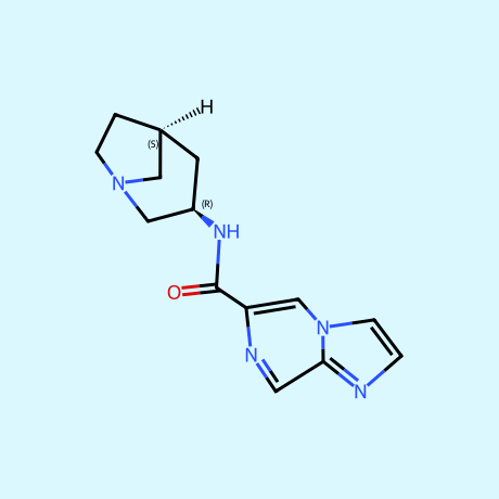 O=C(N[C@@H]1C[C@@H]2CCN(C2)C1)c1cn2ccnc2cn1